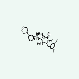 CC(C)(C)OC(=O)NC(Cc1cc(F)cc(F)c1)C(O)CNC1(c2cccc(N3CCOCC3)c2)CC1